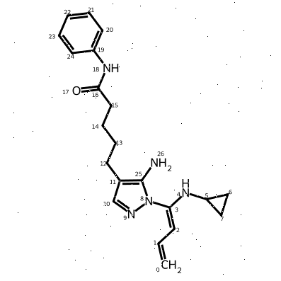 C=C/C=C(/NC1CC1)n1ncc(CCCCC(=O)Nc2ccccc2)c1N